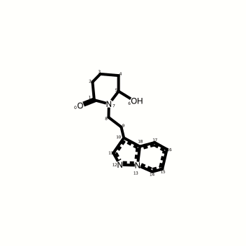 O=C1CCCC(O)N1CCc1cnn2ccccc12